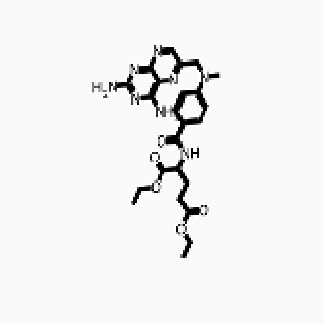 CCOC(=O)CCC(NC(=O)c1ccc(N(C)Cc2cnc3nc(N)nc(N)c3n2)cc1)C(=O)OCC